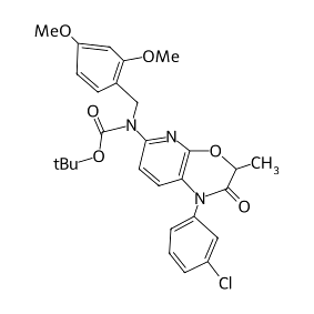 COc1ccc(CN(C(=O)OC(C)(C)C)c2ccc3c(n2)OC(C)C(=O)N3c2cccc(Cl)c2)c(OC)c1